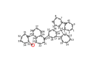 c1ccc(C2(c3ccccc3)c3ccccc3-c3cc(-c4ccc5c6c(cccc46)-c4ccccc4O5)ccc32)cc1